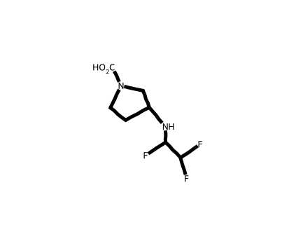 O=C(O)N1CCC(NC(F)C(F)F)C1